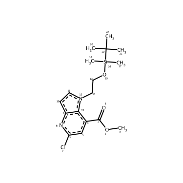 COC(=O)c1cc(Cl)nc2ccn(CCO[Si](C)(C)C(C)(C)C)c12